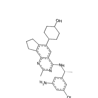 Cc1nc(N[C@H](C)c2cc(N)cc(C(F)(F)F)c2)c2cc(C3CCC(O)CC3)c3c(c2n1)CCC3